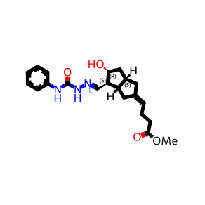 COC(=O)CCC=C1C[C@H]2C[C@@H](O)[C@H](/C=N/NC(=O)Nc3ccccc3)[C@H]2C1